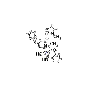 CCC/C(C(=N)[C@H]1CCCCC1=O)=C(/O)c1nc(OC[C@@H]2CCCN2C)cc(Sc2ncccn2)n1